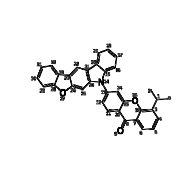 CC(C)c1cccc2c(=O)c3ccc(-n4c5ccccc5c5cc6c(cc54)oc4ccccc46)cc3oc12